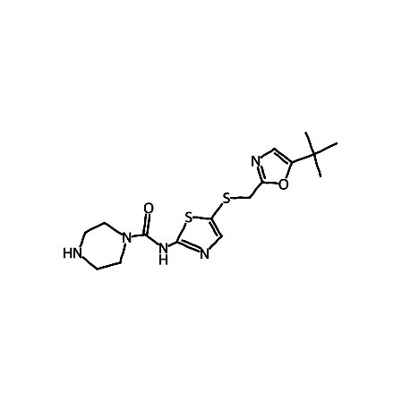 CC(C)(C)c1cnc(CSc2cnc(NC(=O)N3CCNCC3)s2)o1